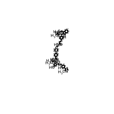 Cc1ncsc1-c1ccc(CNC(=O)[C@@H]2C[C@@H](O)CN2C(=O)[C@@H](NC(=O)c2ccc(N3CCN(CCNC(=O)/C=C/c4cc(F)c([C@@H]5c6[nH]c7ccccc7c6C[C@@H](C)N5CC(C)(C)F)c(F)c4)CC3)cc2)C(C)(C)C)cc1